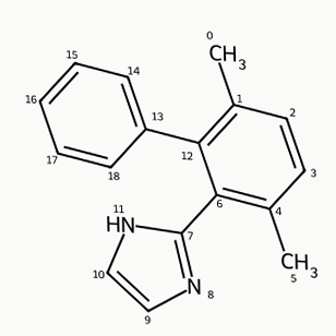 Cc1ccc(C)c(-c2ncc[nH]2)c1-c1ccccc1